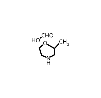 CC1CNCCO1.O=CO